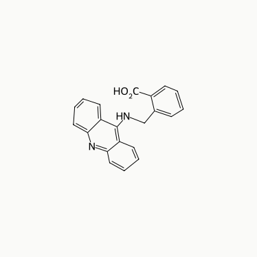 O=C(O)c1ccccc1CNc1c2ccccc2nc2ccccc12